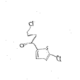 O=C(CCCl)c1ccc(Cl)s1